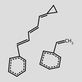 C(=CC=C1CC1)C=Cc1ccccc1.C=Cc1ccccc1